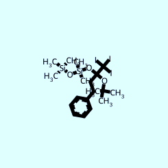 CC(C)(C)OC(CCc1ccccc1)(O[Si](C)(C)O[Si](C)(C)C)C(I)(I)I